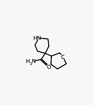 NC(=O)C1(C2CCCCC2)CCNCC1